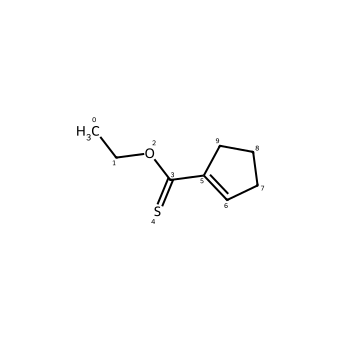 CCOC(=S)C1=CCCC1